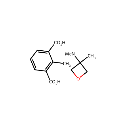 CNC1(C)COC1.Cc1c(C(=O)O)cccc1C(=O)O